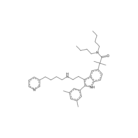 CCCCN(CCCC)C(=O)C(C)(C)c1ccc2[nH]c(-c3cc(C)cc(C)c3)c(CCNCCCCc3cccnc3)c2c1